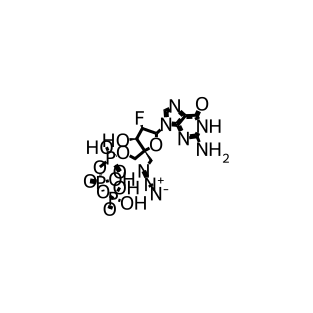 [N-]=[N+]=NC[C@]1(COP(=O)(O)OP(=O)(O)OP(=O)(O)O)OC(n2cnc3c(=O)[nH]c(N)nc32)[C@H](F)[C@@H]1O